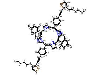 CCCCCCc1ccsc1C#Cc1ccc(-c2c3nc(c(-c4c(C)cc(C)cc4C)c4ccc([nH]4)c(-c4ccc(C#Cc5sccc5CCCCCC)cc4)c4nc(c(-c5c(C)cc(C)cc5C)c5ccc2[nH]5)C=C4)C=C3)cc1